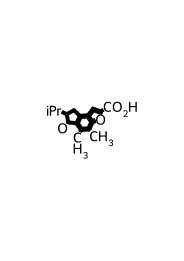 Cc1c2c(c3cc(C(=O)O)oc3c1C)CC(C(C)C)C2=O